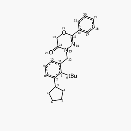 CC(C)(C)c1c(C2CCCC2)[c]ccc1CN1N=C(c2ccccc2)OCC1=O